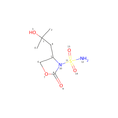 CC(C)(O)CC1COC(=O)N1S(N)(=O)=O